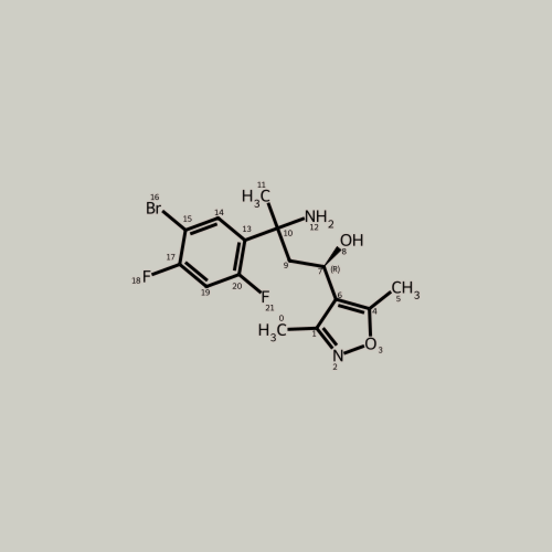 Cc1noc(C)c1[C@H](O)CC(C)(N)c1cc(Br)c(F)cc1F